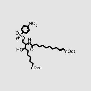 CCCCCCCCC=CCCCCCCCC(=O)NC(COS(=O)(=O)c1ccc([N+](=O)[O-])cc1)C(O)CCCCCCCCCCCCCCC